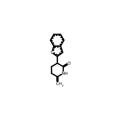 C=C1CCC(c2cc3ccccc3s2)C(=O)N1